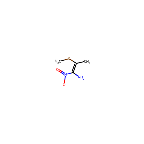 CSC(C)=C(N)[N+](=O)[O-]